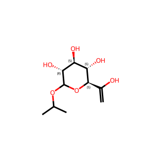 C=C(O)[C@H]1OC(OC(C)C)[C@H](O)[C@@H](O)[C@@H]1O